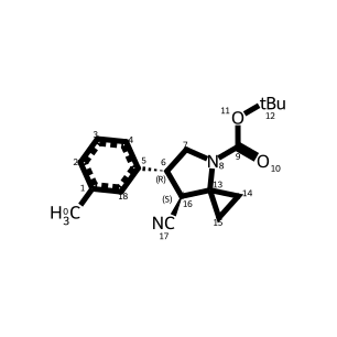 Cc1cccc([C@@H]2CN(C(=O)OC(C)(C)C)C3(CC3)[C@H]2C#N)c1